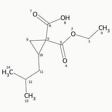 CCOC(=O)C1(C(=O)O)CC1CC(C)C